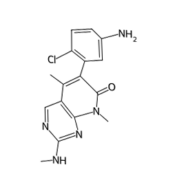 CNc1ncc2c(C)c(-c3cc(N)ccc3Cl)c(=O)n(C)c2n1